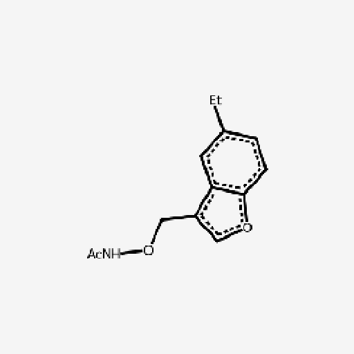 CCc1ccc2occ(CONC(C)=O)c2c1